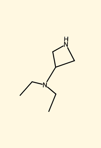 CCN(CC)C1CNC1